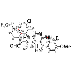 COc1ccc(C(=N)c2c(N)ncnc2NC(C)C(NC2CC=CC(Cl)=C2C)N(C=O)C2CCN(CC(F)(F)F)CC2)c(F)c1F